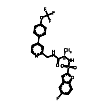 C[C@H](NS(=O)(=O)c1cc2cc(F)ccc2o1)C(=O)NCc1cc(-c2ccc(OC(F)(F)F)cc2)ccn1